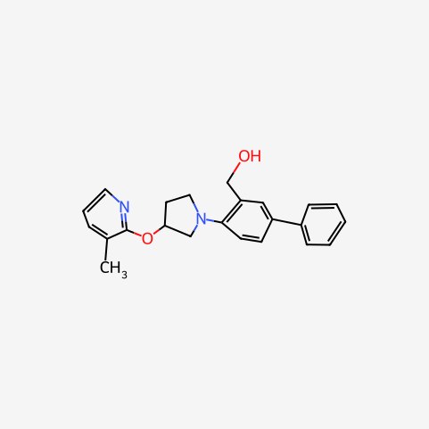 Cc1cccnc1OC1CCN(c2ccc(-c3ccccc3)cc2CO)C1